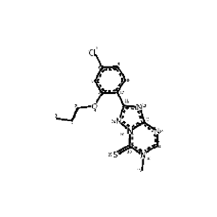 CCCOc1cc(Cl)ccc1-c1nc2ncn(C)c(=S)n2n1